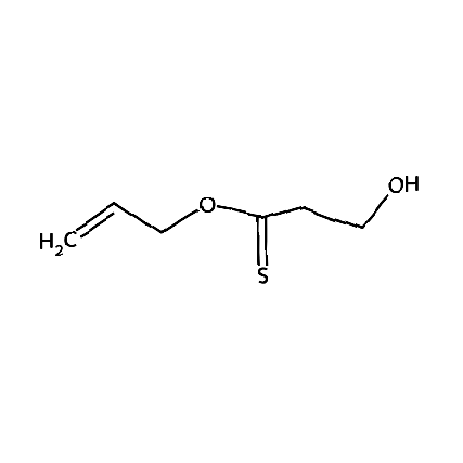 C=CCOC(=S)CCO